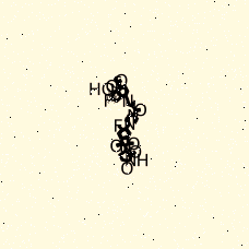 CS(=O)(=O)c1ccc(N2CC(C(=O)N3CCN(c4cc5c(cc4F)C(=O)N(C4CCC(=O)NC4=O)C5=O)CC3)C2)c2c1[C@H](O)[C@@H](F)C2